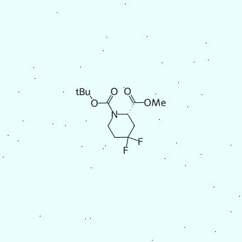 COC(=O)[C@@H]1CC(F)(F)CCN1C(=O)OC(C)(C)C